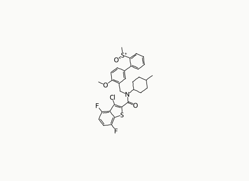 COc1ccc(-c2ccccc2[S+](C)[O-])cc1CN(C(=O)c1sc2c(F)ccc(F)c2c1Cl)C1CCC(C)CC1